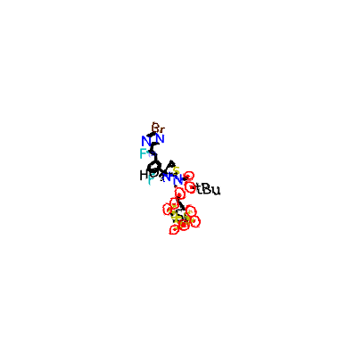 CC(C)(C)OC(=O)N(COCC[Si](S(C)(=O)=O)(S(C)(=O)=O)S(C)(=O)=O)C1=NC(C)(c2cc(/C=C(\F)c3cnc(Br)cn3)ccc2F)C2CC2(C(=O)O)S1